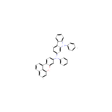 c1ccc(N(c2ccc3c(c2)Oc2cccc4cccc-3c24)c2ccc3c4ccccc4n(-c4ccccc4)c3c2)cc1